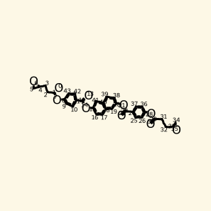 O=C(CCC1CO1)Oc1ccc(C(=O)Oc2ccc3cc(OC(=O)c4ccc(OC(=O)CCC5CO5)cc4)ccc3c2)cc1